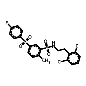 Cc1ccc(S(=O)(=O)c2ccc(F)cc2)cc1S(=O)(=O)NCCc1c(Cl)cccc1Cl